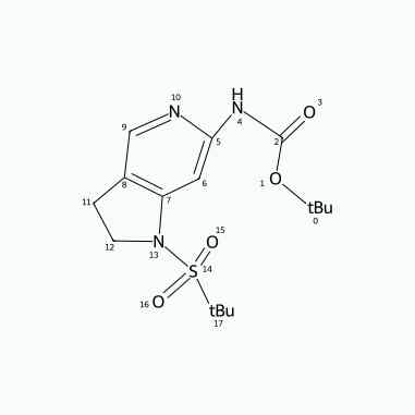 CC(C)(C)OC(=O)Nc1cc2c(cn1)CCN2S(=O)(=O)C(C)(C)C